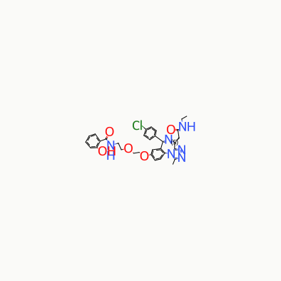 CCNC(=O)C[C@@H]1N=C(c2ccc(Cl)cc2)c2cc(OCCOCCNC(=O)c3ccccc3O)ccc2-n2c(C)nnc21